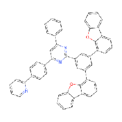 c1ccc(-c2cc(-c3ccc(-c4ccccn4)cc3)nc(-c3cc(-c4cccc5c4oc4ccccc45)cc(-c4cccc5c4oc4ccccc45)c3)n2)cc1